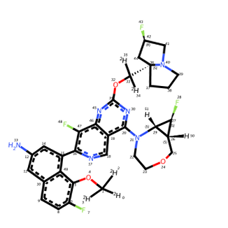 [2H]C([2H])([2H])Oc1c(F)ccc2cc(N)cc(-c3ncc4c(N5CCOC[C@H]6[C@H](F)[C@H]65)nc(OC([2H])([2H])[C@@]56CCCN5C[C@H](F)C6)nc4c3F)c12